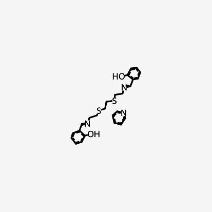 Oc1ccccc1C=NCCSCCSCCN=Cc1ccccc1O.c1ccncc1